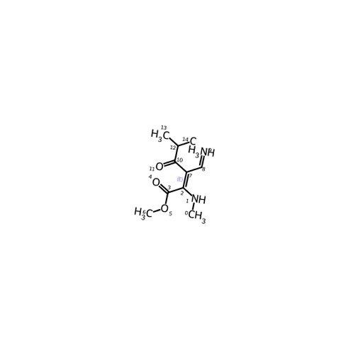 CN/C(C(=O)OC)=C(\C=N)C(=O)C(C)C